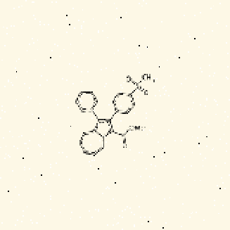 COC(=O)c1c2cccccc-2c(-c2ccccc2)c1-c1ccc(S(C)(=O)=O)cc1